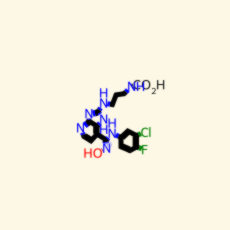 O=C(O)NCCCNc1nc2nccc(/C(=N\O)Nc3ccc(F)c(Cl)c3)c2[nH]1